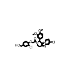 COc1ccc(C2c3c(nc4cc(Cl)ccn34)CCN2C(=O)COc2ccc(CO)cc2Cl)cc1OC